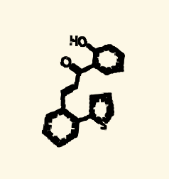 O=C(C=Cc1ccccc1-c1cccs1)c1ccccc1O